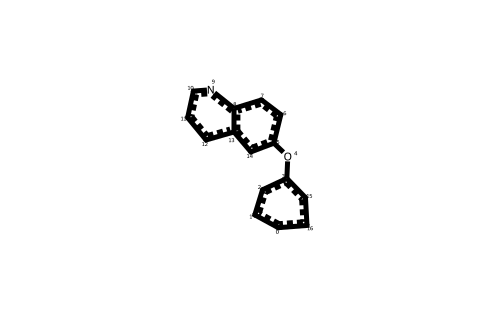 c1ccc(Oc2ccc3ncccc3c2)cc1